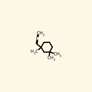 C=C=CC1(C)CCCC(C)(C)C1